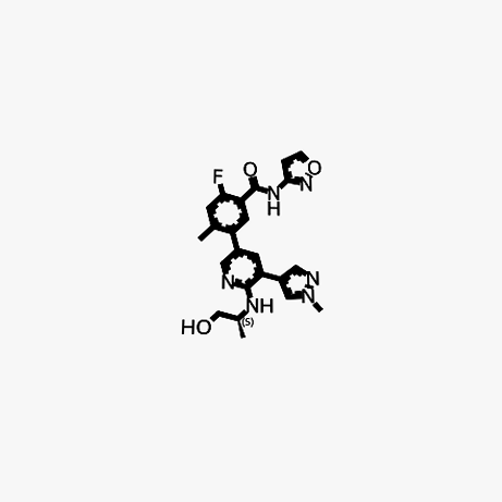 Cc1cc(F)c(C(=O)Nc2ccon2)cc1-c1cnc(N[C@@H](C)CO)c(-c2cnn(C)c2)c1